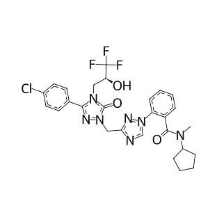 CN(C(=O)c1ccccc1-n1cnc(Cn2nc(-c3ccc(Cl)cc3)n(C[C@H](O)C(F)(F)F)c2=O)n1)C1CCCC1